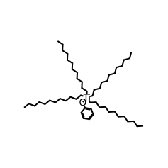 CCCCCCCCCCC[CH2][Ti]([CH2]CCCCCCCCCCC)([CH2]CCCCCCCCCCC)([CH2]CCCCCCCCCCC)[O]c1ccccc1